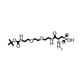 CC(C)(C)OC(=O)NCCOCCOCCNC(=O)[C@@H](N)CS(=O)(=O)O